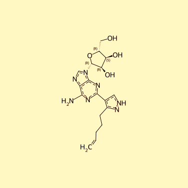 C=CCCCc1n[nH]cc1-c1nc(N)c2ncn([C@@H]3O[C@H](CO)[C@@H](O)[C@H]3O)c2n1